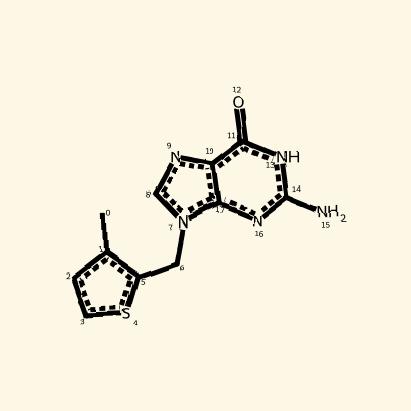 Cc1ccsc1Cn1cnc2c(=O)[nH]c(N)nc21